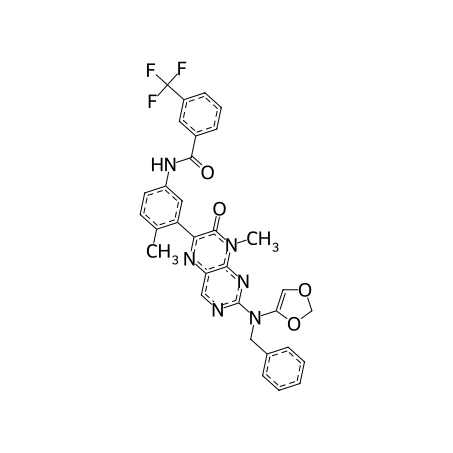 Cc1ccc(NC(=O)c2cccc(C(F)(F)F)c2)cc1-c1nc2cnc(N(Cc3ccccc3)C3=COCO3)nc2n(C)c1=O